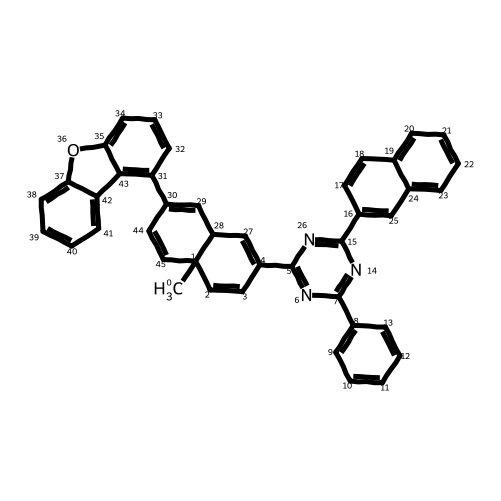 CC12C=CC(c3nc(-c4ccccc4)nc(-c4ccc5ccccc5c4)n3)=CC1C=C(c1cccc3oc4ccccc4c13)C=C2